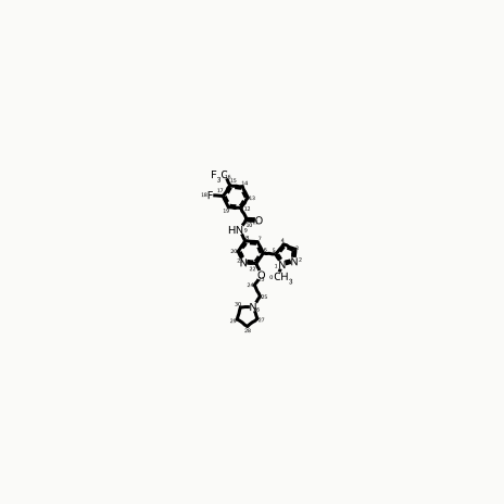 Cn1nccc1-c1cc(NC(=O)c2ccc(C(F)(F)F)c(F)c2)cnc1OCCN1CCCC1